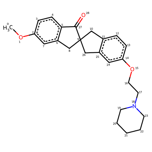 COc1ccc2c(c1)CC1(Cc3ccc(OCCN4CCCCC4)cc3C1)C2=O